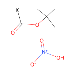 CC(C)(C)O[C](=O)[K].O=[N+]([O-])O